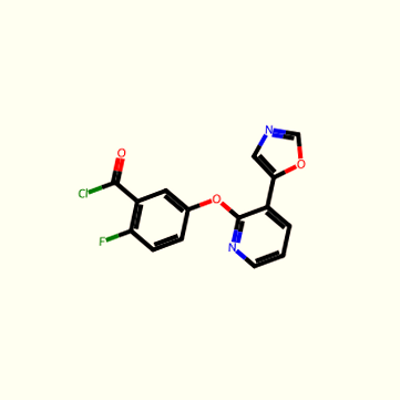 O=C(Cl)c1cc(Oc2ncccc2-c2cnco2)ccc1F